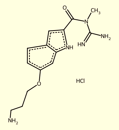 CN(C(=N)N)C(=O)c1cc2ccc(OCCCN)cc2[nH]1.Cl